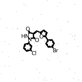 O=C1NN(c2cccc(Cl)c2)C(=O)/C1=C\c1ccc(-c2ccc(Br)cc2)o1